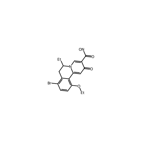 CCOc1ccc(Br)c2c1-c1cc(=O)c(C(=O)N=O)cn1C(CC)C2